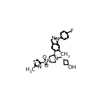 Cc1nc(S(=O)(=O)N2CCN(C[C@H]3C[C@@H](O)C3)[C@H](c3cc4cnn(-c5ccc(F)cc5)c4cc3C)C2)cs1